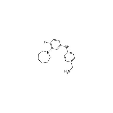 NCc1ccc(Nc2ccc(F)c(N3CCCCCC3)c2)cc1